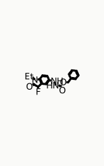 CCN1C(=O)C(F)c2cc(NNC(=O)OCc3ccccc3)ccc21